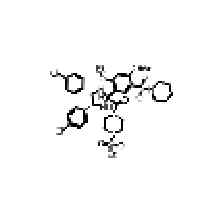 CCOc1cc(OC)c(S(=O)(=O)N2CCCCC2)cc1C1(C(=O)N2CCN(S(=O)(=O)CC)CC2)N[C@H](c2ccc(Cl)cc2)[C@H](c2ccc(Cl)cc2)N1